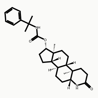 CC(C)(NC(=O)O[C@H]1CC[C@H]2[C@@H]3CC[C@H]4NC(=O)CC[C@]4(C)[C@H]3CC[C@]12C)c1ccccc1